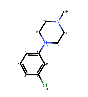 CCCN1CCN(c2cccc(Cl)c2)CC1